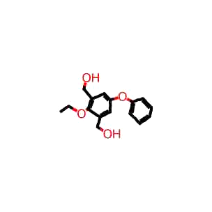 CCOc1c(CO)cc(Oc2ccccc2)cc1CO